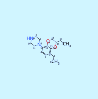 CCc1ccc(N2CCNCC2)c2c1OC(CC)CO2